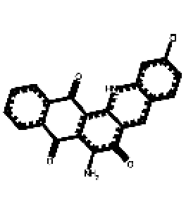 Nc1c2c(c3[nH]c4cc(Cl)ccc4cc-3c1=O)C(=O)c1ccccc1C2=O